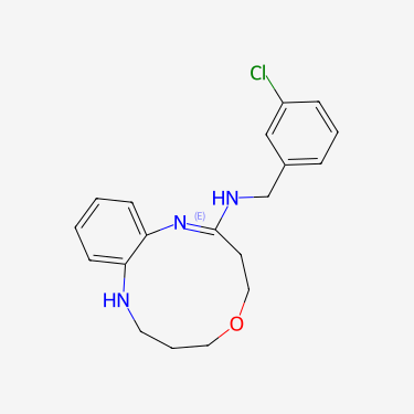 Clc1cccc(CN/C2=N/c3ccccc3NCCCOCC2)c1